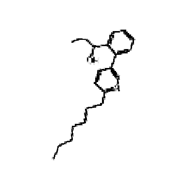 CCCCCCCc1ccc(-c2ccccc2C(O)CC)cn1